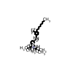 CCCCCCCCCc1ccc(-c2noc([C@@H]3CCCN(/C(=N\C(=O)OC(C)(C)C)NC(=O)OC(C)(C)C)C3)n2)cc1C(F)(F)F